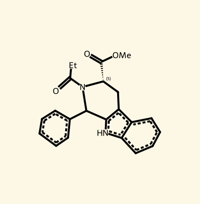 CCC(=O)N1C(c2ccccc2)c2[nH]c3ccccc3c2C[C@H]1C(=O)OC